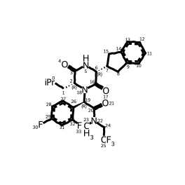 CC(C)C[C@@H]1C(=O)N[C@H](C2Cc3ccccc3C2)C(=O)N1[C@@H](C(=O)N(C)CC(F)(F)F)c1ccc(F)cc1F